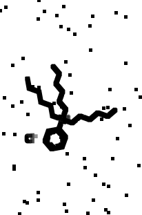 CCCCCC[N+](CCCCCC)(CCCCCC)c1ccccc1.[Cl-]